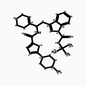 CN1CCN(c2ncc(C(=O)NC(Cc3cn(C(=O)OC(C)(C)C)c4ccccc34)C3=CCOCC3)s2)CC1